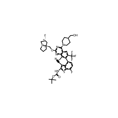 CC(C)(C)OC(=O)Nc1sc2c(F)ccc(-c3c(C(F)(F)F)cc4c(N5CCC(CO)CC5)nc(OC[C@@]56CCCN5C[C@H](F)C6)nc4c3F)c2c1C#N